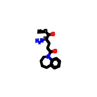 COC(=O)[C@@H](N)CCC(=O)N1CCCCc2ccccc21